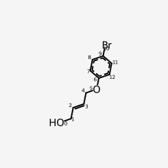 OC/C=C/COc1ccc(Br)cc1